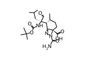 CC(C)C[C@@](C=O)(NC(=O)OC(C)(C)C)[C@H]1C2=NN(C(N)=O)[C@@]2(C(=O)O)CCC1C